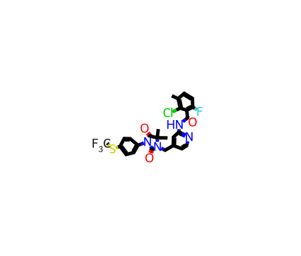 Cc1ccc(F)c(C(=O)Nc2cc(CN3C(=O)N(c4ccc(SC(F)(F)F)cc4)C(=O)C3(C)C)ccn2)c1Cl